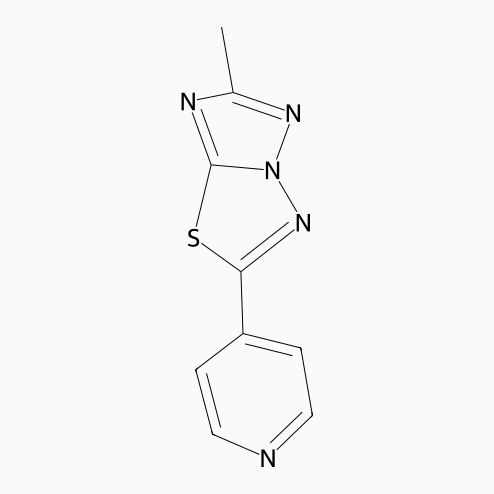 Cc1nc2sc(-c3ccncc3)nn2n1